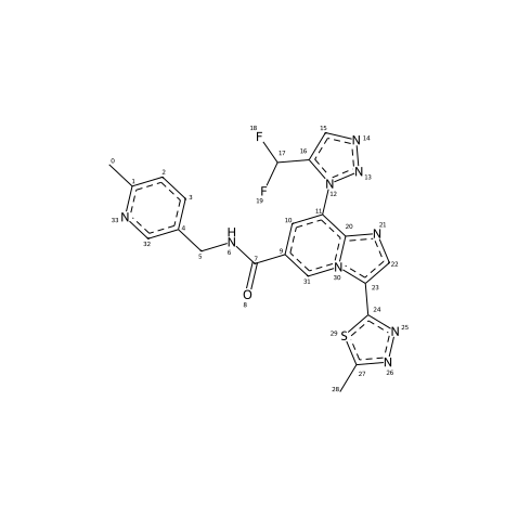 Cc1ccc(CNC(=O)c2cc(-n3nncc3C(F)F)c3ncc(-c4nnc(C)s4)n3c2)cn1